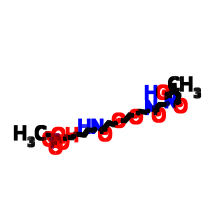 CCOP(=O)(O)OCCCCCCNC(=O)CCOCCOCCNC(=O)CCN1C(=O)CC(C)C1=O